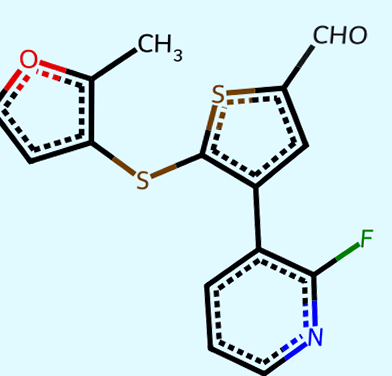 Cc1occc1Sc1sc(C=O)cc1-c1cccnc1F